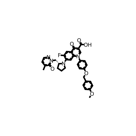 COc1ccc(COc2ccc(-n3cc(C(=O)O)c(=O)c4cc(F)c(N5CCC[C@@H]5Cn5nccc(C)c5=O)cc43)cc2)cc1